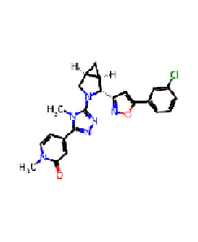 Cn1c(-c2ccn(C)c(=O)c2)nnc1N1C[C@H]2C[C@H]2[C@@H]1c1cc(-c2cccc(Cl)c2)on1